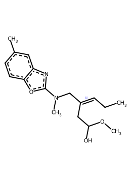 CC/C=C(\CC(O)OC)CN(C)c1nc2cc(C)ccc2o1